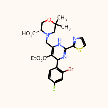 CCOC(=O)C1=C(CN2CC(C)(C)OC[C@H]2C(=O)O)NC(c2nccs2)=NC1c1ccc(F)cc1Br